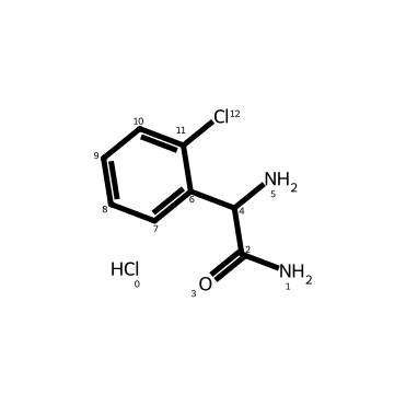 Cl.NC(=O)C(N)c1ccccc1Cl